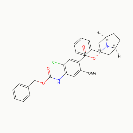 COc1cc(NC(=O)OCc2ccccc2)c(Cl)cc1C(=O)O[C@@H]1C[C@H]2CC[C@@H](C1)N2Cc1ccccc1